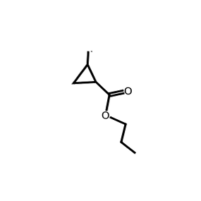 [CH2]C1CC1C(=O)OCCC